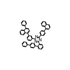 c1ccc(-c2ccc(-c3ccccc3-c3nc(-c4ccc(-c5cccc6ccccc56)cc4)nc(-c4cccc(-c5ccc(-c6ccccc6)c6ccccc56)c4)n3)cc2)cc1